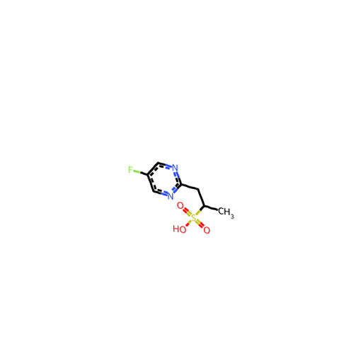 CC(Cc1ncc(F)cn1)S(=O)(=O)O